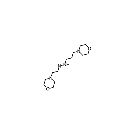 C(CN[N]CCN1CCOCC1)CN1CCOCC1